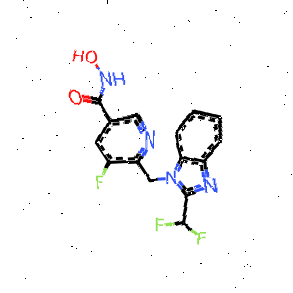 O=C(NO)c1cnc(Cn2c(C(F)F)nc3ccccc32)c(F)c1